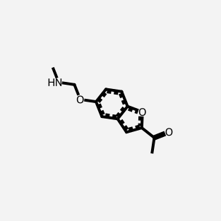 CNCOc1ccc2oc(C(C)=O)cc2c1